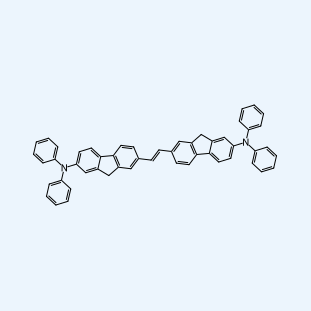 C(=C\c1ccc2c(c1)Cc1cc(N(c3ccccc3)c3ccccc3)ccc1-2)/c1ccc2c(c1)Cc1cc(N(c3ccccc3)c3ccccc3)ccc1-2